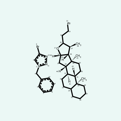 Brc1cn(Cc2ccccc2)nn1.CC(C)CCC1O[C@H]2C[C@H]3[C@@H]4CCC5CCCC[C@]5(C)[C@H]4CC[C@]3(C)[C@H]2[C@@H]1C